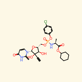 C#C[C@@]1(O)[C@H](O)[C@@H](COP(=O)(N[C@@H](C)C(=O)OC2CCCCC2)Oc2ccc(Cl)cc2)O[C@H]1N1C=CC(=O)NC1=C